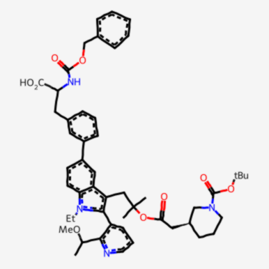 CCn1c(-c2cccnc2C(C)OC)c(CC(C)(C)OC(=O)C[C@@H]2CCCN(C(=O)OC(C)(C)C)C2)c2cc(-c3cccc(CC(NC(=O)OCc4ccccc4)C(=O)O)c3)ccc21